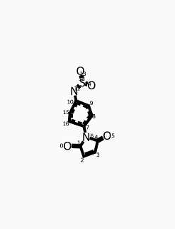 O=C1C=CC(=O)N1c1ccc(N=S(=O)=O)cc1